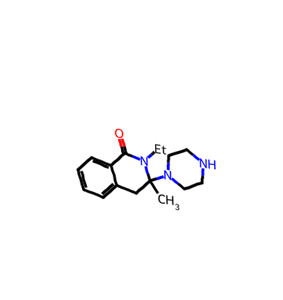 CCN1C(=O)c2ccccc2CC1(C)N1CCNCC1